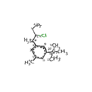 Cc1cc([SiH2]C(Cl)CC(C)C)cc([Si](C)(C)C)c1